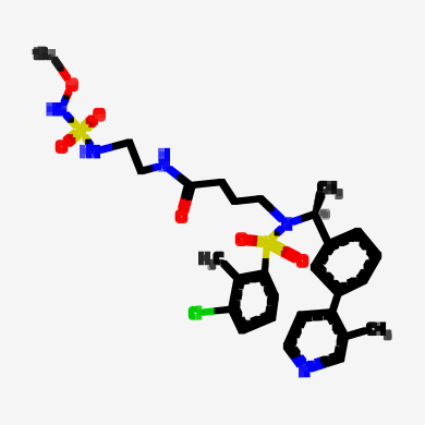 Cc1cnccc1-c1cccc([C@H](C)N(CCCC(=O)NCCNS(=O)(=O)NOC(C)(C)C)S(=O)(=O)c2cccc(Cl)c2C)c1